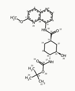 COc1ccc2nccc(NC(=O)[C@@H]3CC[C@@H](NC(=O)OC(C)(C)C)[C@H](O)C3)c2n1